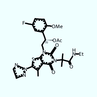 CCNC(=O)C(C)(C)n1c(=O)c2c(C)c(-n3nccn3)sc2n(C[C@@H](OC(C)=O)c2cc(F)ccc2OC)c1=O